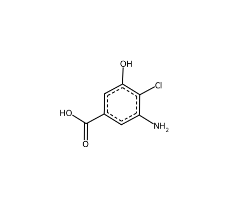 Nc1cc(C(=O)O)cc(O)c1Cl